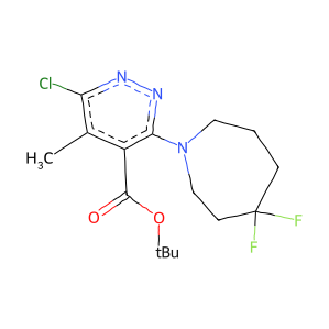 Cc1c(Cl)nnc(N2CCCC(F)(F)CC2)c1C(=O)OC(C)(C)C